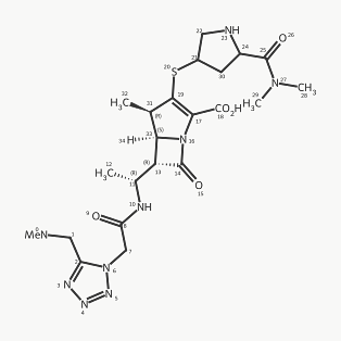 CNCc1nnnn1CC(=O)N[C@H](C)[C@H]1C(=O)N2C(C(=O)O)=C(SC3CNC(C(=O)N(C)C)C3)[C@H](C)[C@H]12